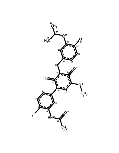 COc1nn(-c2ccc(F)c(NC(C)=O)c2)c(=O)n(Cc2ccc(Cl)c(OC(C)C)c2)c1=O